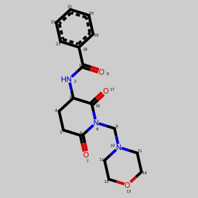 O=C(NC1CCC(=O)N(CN2CCOCC2)C1=O)c1ccccc1